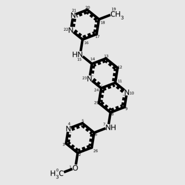 COc1cncc(Nc2cnc3ccc(Nc4cc(C)cnn4)nc3c2)c1